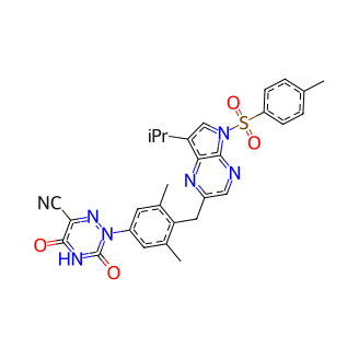 Cc1ccc(S(=O)(=O)n2cc(C(C)C)c3nc(Cc4c(C)cc(-n5nc(C#N)c(=O)[nH]c5=O)cc4C)cnc32)cc1